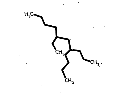 CCCCC([CH]C(CCC)CCCC)CC